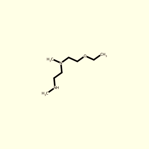 CCOCCN(C)CCNC